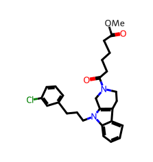 COC(=O)CCCCC(=O)N1CCc2c(n(CCCc3cccc(Cl)c3)c3ccccc23)C1